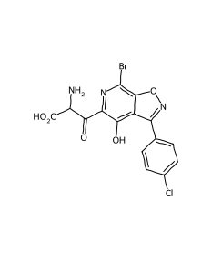 NC(C(=O)O)C(=O)c1nc(Br)c2onc(-c3ccc(Cl)cc3)c2c1O